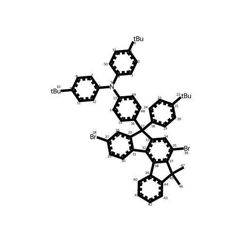 CC(C)(C)c1ccc(N(c2ccc(C(C)(C)C)cc2)c2ccc(C3(c4ccc(C(C)(C)C)cc4)c4cc(Br)ccc4-c4c3cc(Br)c3c4-c4ccccc4C3(C)C)cc2)cc1